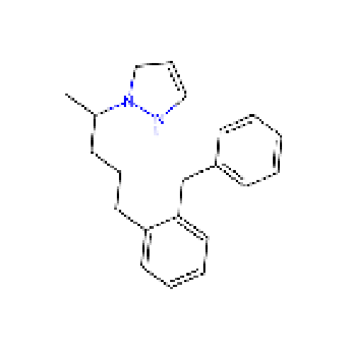 CC(CCCc1ccccc1Cc1ccccc1)N1CC=CN1